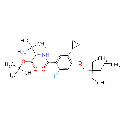 C=CCC(CC)(CC)COc1cc(F)c(C(=O)N[C@H](C(=O)OC(C)(C)C)C(C)(C)C)cc1C1CC1